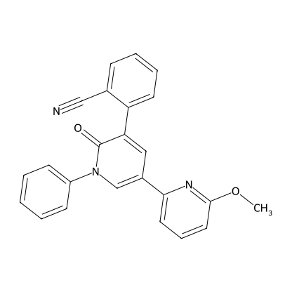 COc1cccc(-c2cc(-c3ccccc3C#N)c(=O)n(-c3ccccc3)c2)n1